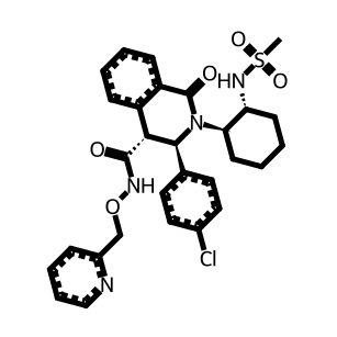 CS(=O)(=O)N[C@@H]1CCCC[C@H]1N1C(=O)c2ccccc2[C@@H](C(=O)NOCc2ccccn2)[C@@H]1c1ccc(Cl)cc1